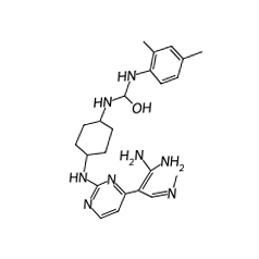 C/N=C\C(=C(N)N)c1ccnc(NC2CCC(NC(O)Nc3ccc(C)cc3C)CC2)n1